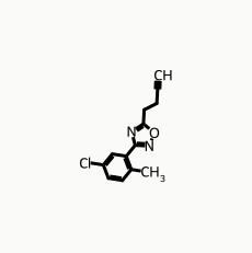 C#CCCc1nc(-c2cc(Cl)ccc2C)no1